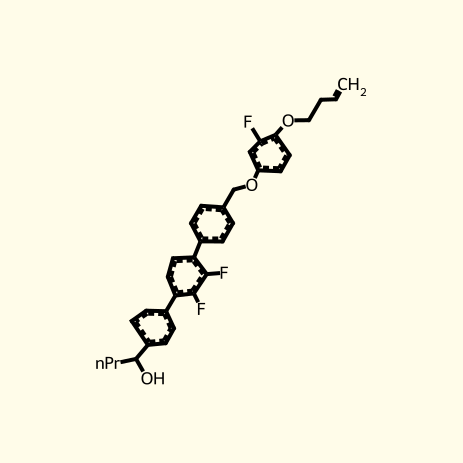 C=CCCOc1ccc(OCc2ccc(-c3ccc(-c4ccc(C(O)CCC)cc4)c(F)c3F)cc2)cc1F